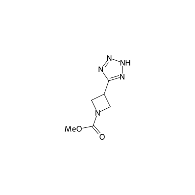 COC(=O)N1CC(c2nn[nH]n2)C1